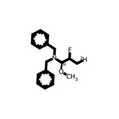 [2H]CC(F)[C@@H](OC)N(Cc1ccccc1)Cc1ccccc1